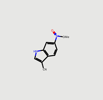 CO[N+](=O)c1ccc2c(C#N)c[nH]c2c1